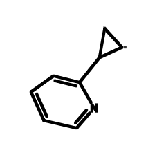 [CH]1CC1c1ccccn1